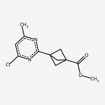 COC(=O)C12CC(c3nc(C)cc(Cl)n3)(C1)C2